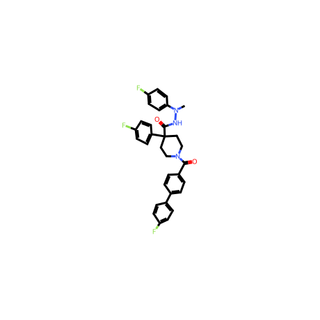 CN(NC(=O)C1(c2ccc(F)cc2)CCN(C(=O)c2ccc(-c3ccc(F)cc3)cc2)CC1)c1ccc(F)cc1